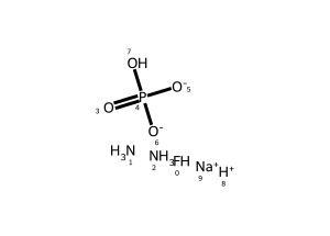 F.N.N.O=P([O-])([O-])O.[H+].[Na+]